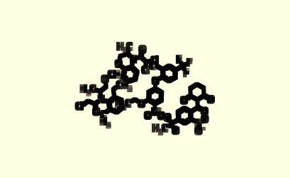 CC1COc2ccccc2N1C(=O)C(Cl)Cl.CCOc1cc(Oc2ccc(C(F)(F)F)cc2Cl)ccc1[N+](=O)[O-].CCc1cccc(C)c1N(C(=O)CCl)C(C)COC.CS(=O)(=O)c1ccc(C(=O)C2C(=O)CCCC2=O)c([N+](=O)[O-])c1